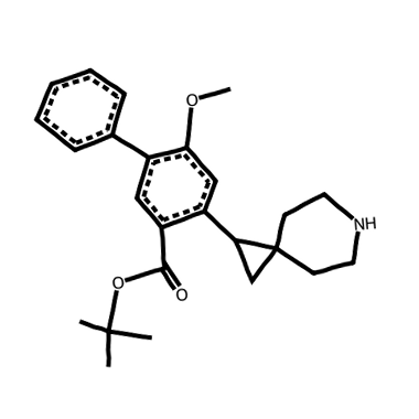 COc1cc(C2CC23CCNCC3)c(C(=O)OC(C)(C)C)cc1-c1ccccc1